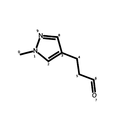 Cn1cc(CC[C]=O)cn1